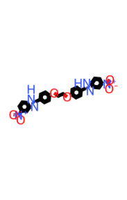 O=[N+]([O-])c1ccc2[nH]c(-c3ccc(OCCOc4ccc(-c5nc6cc([N+](=O)[O-])ccc6[nH]5)cc4)cc3)nc2c1